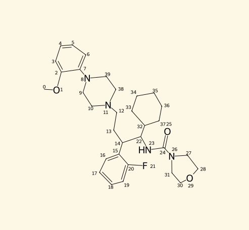 COc1ccccc1N1CCN(CCC(c2ccccc2F)C(NC(=O)N2CCOCC2)C2CCCCC2)CC1